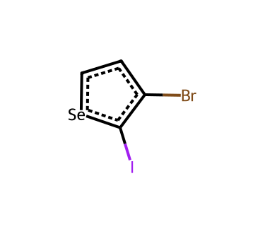 Brc1cc[se]c1I